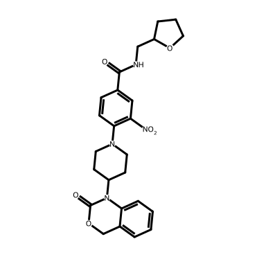 O=C(NCC1CCCO1)c1ccc(N2CCC(N3C(=O)OCc4ccccc43)CC2)c([N+](=O)[O-])c1